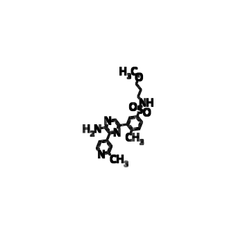 COCCCNS(=O)(=O)c1ccc(C)c(-c2cnc(N)c(-c3ccnc(C)c3)n2)c1